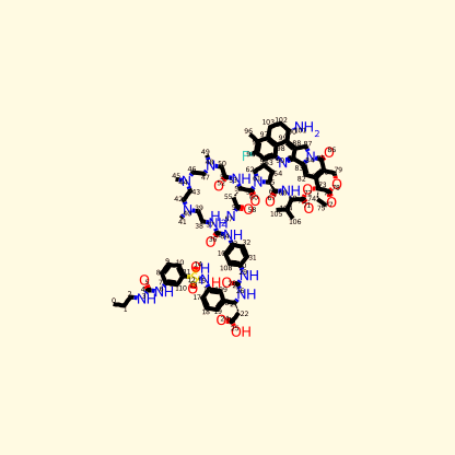 CCCNC(=O)Nc1cccc(S(=O)(=O)Nc2cccc([C@@H](CC(=O)O)NC(O)Nc3ccc(NC(=O)NCCN(C)CCN(C)CCN(C)CC(=O)N[C@@H](CC(N)=O)C(=O)N4CCC[C@H]4C(=O)N[C@H](C(=O)O[C@]4(CC)C(=O)OCc5c4cc4n(c5=O)Cc5c-4nc4cc(F)c(C)c6c4c5[C@@H](N)CC6)C(C)C)cc3)c2)c1